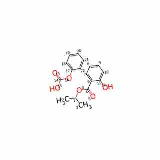 CC(C)OC(=O)c1ccccc1O.O=C(O)Oc1ccccc1